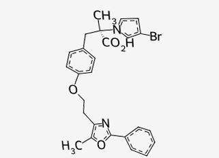 Cc1oc(-c2ccccc2)nc1CCOc1ccc(C[C@](C)(C(=O)O)n2ccc(Br)c2)cc1